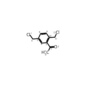 CC(=O)c1cc(CCl)ccc1CCl